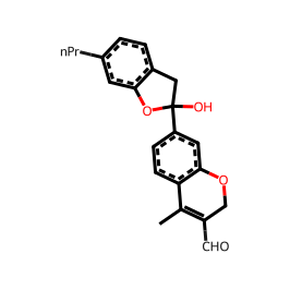 CCCc1ccc2c(c1)OC(O)(c1ccc3c(c1)OCC(C=O)=C3C)C2